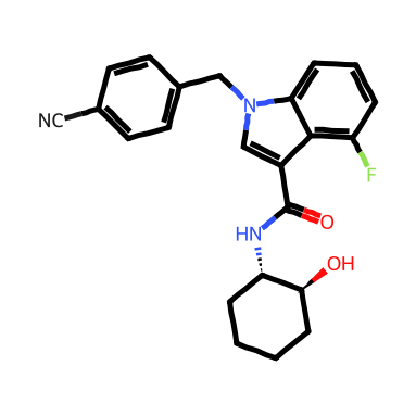 N#Cc1ccc(Cn2cc(C(=O)N[C@H]3CCCC[C@@H]3O)c3c(F)cccc32)cc1